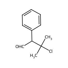 CC(C)(Cl)C(C=O)c1ccccc1